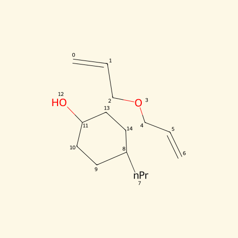 C=CCOCC=C.CCCC1CCC(O)CC1